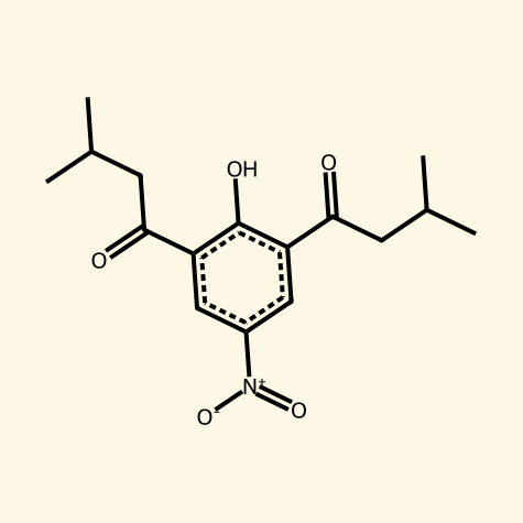 CC(C)CC(=O)c1cc([N+](=O)[O-])cc(C(=O)CC(C)C)c1O